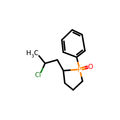 CC(Cl)CC1CCCP1(=O)c1ccccc1